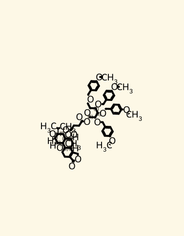 COc1ccc(COCC2O[C@@H](OC(=O)CCC(=O)O[C@@H]3[C@@]4(C(C)C)O[C@H]4[C@@H]4O[C@]45[C@]34O[C@H]4C[C@H]3C4=C(CC[C@@]35C)C(=O)OC4)C(OCc3ccc(OC)cc3)[C@@H](OCc3ccc(OC)cc3)[C@@H]2OCc2ccc(OC)cc2)cc1